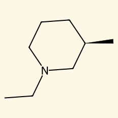 CCN1CCC[C@@H](C)C1